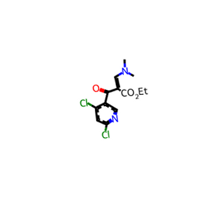 CCOC(=O)/C(=C\N(C)C)C(=O)c1cnc(Cl)cc1Cl